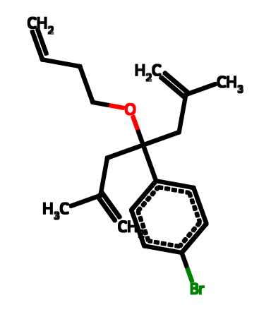 C=CCCOC(CC(=C)C)(CC(=C)C)c1ccc(Br)cc1